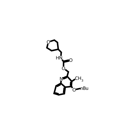 CCCCOc1c(C)c(COC(=O)NCC2CCOCC2)nc2ccccc12